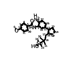 COc1ccc(C(=O)Nc2cc(-c3ccsc3CCC(C)(C)[Si](C)(C)O)ccc2N)cc1